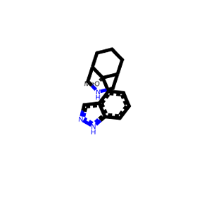 COC1(c2cccc3[nH]ncc23)C2CCCC1CNC2